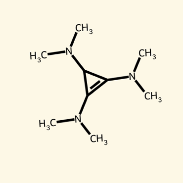 CN(C)C1=C(N(C)C)C1N(C)C